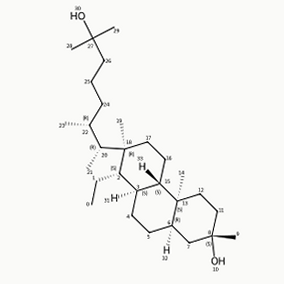 CC[C@H]1[C@@H]2CC[C@@H]3C[C@@](C)(O)CC[C@]3(C)[C@H]2CC[C@]1(C)[C@H](C)[C@H](C)CCCC(C)(C)O